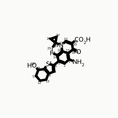 Nc1cc(-c2cc3c(s2)C(O)CCC3)c(F)c2c1c(=O)c(C(=O)O)cn2C1(I)CC1